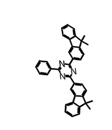 CC1(C)c2ccccc2-c2cc(-c3nc(-c4ccccc4)nc(-c4ccc5c(c4)-c4ccccc4C5(C)C)n3)ccc21